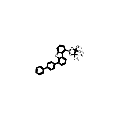 CC1(C)OB(c2cccc3oc4c(-c5ccc(-c6ccccc6)cc5)cccc4c23)OC1(C)C